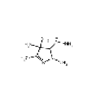 CC1=NN(C)C(NN)C1(N)N